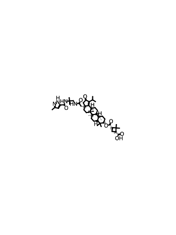 Cc1cc(C(=O)NC(C)(C)CNC(=O)C[C@@]23CC[C@]4(C)[C@H](CC[C@@H]5[C@@]6(C)CC[C@H](OC(=O)[C@H]7C[C@@H](C(=O)O)C7(C)C)C(C)(C)[C@@H]6CC[C@]54C)C2=C(C(C)C)C(=O)C3)[nH]n1